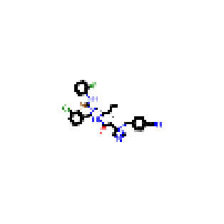 CC[C@H](C)[C@@H](CN(Cc1cccc(Cl)c1)C(=S)Nc1ccccc1F)NC(=O)Cc1cncn1Cc1ccc(C#N)cc1